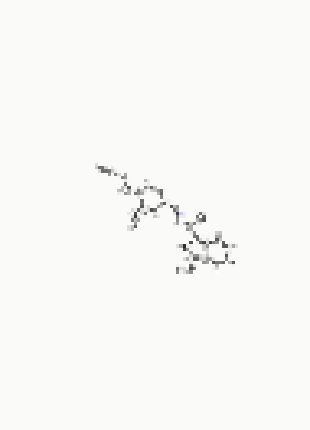 C#CCOc1ccc(/C=C/C(=O)n2nc(O)c3ccccc32)cc1OC